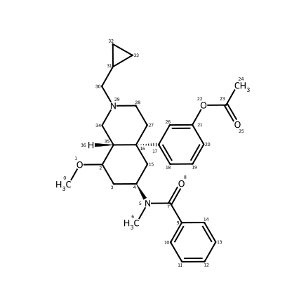 COC1C[C@H](N(C)C(=O)c2ccccc2)C[C@]2(c3cccc(OC(C)=O)c3)CCN(CC3CC3)C[C@@H]12